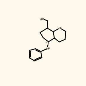 OCC1CC[C@H](Nc2ccccc2)C2CCCOC12